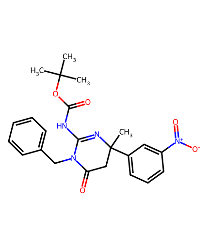 CC(C)(C)OC(=O)NC1=NC(C)(c2cccc([N+](=O)[O-])c2)CC(=O)N1Cc1ccccc1